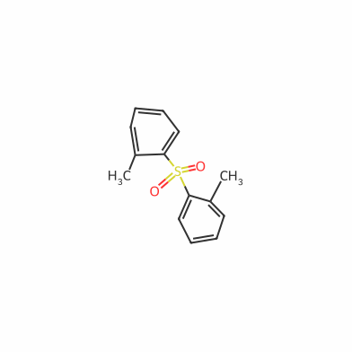 Cc1ccccc1S(=O)(=O)c1ccccc1C